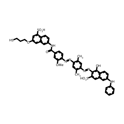 COc1cc(C(=O)Nc2ccc3c(S(=O)(=O)O)cc(OCCCS)cc3c2)ccc1N=Nc1cc(C)c(N=Nc2c(S(=O)(=O)O)cc3cc(Nc4ccccc4)ccc3c2O)cc1C